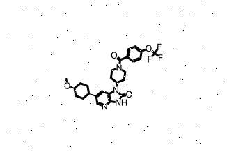 CO[C@H]1CC[C@@H](c2cnc3[nH]c(=O)n(C4CCN(C(=O)c5ccc(OC(F)(F)F)cc5)CC4)c3c2)CC1